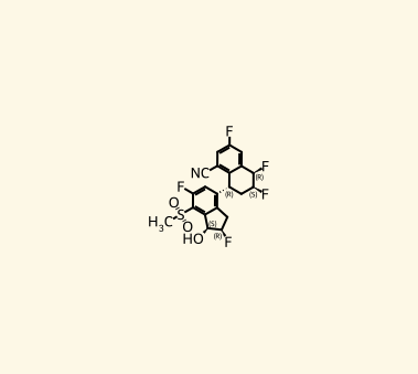 CS(=O)(=O)c1c(F)cc([C@H]2C[C@H](F)[C@H](F)c3cc(F)cc(C#N)c32)c2c1[C@H](O)[C@H](F)C2